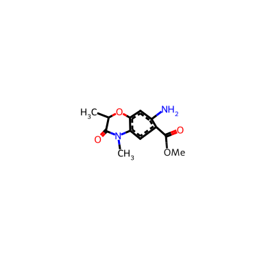 COC(=O)c1cc2c(cc1N)OC(C)C(=O)N2C